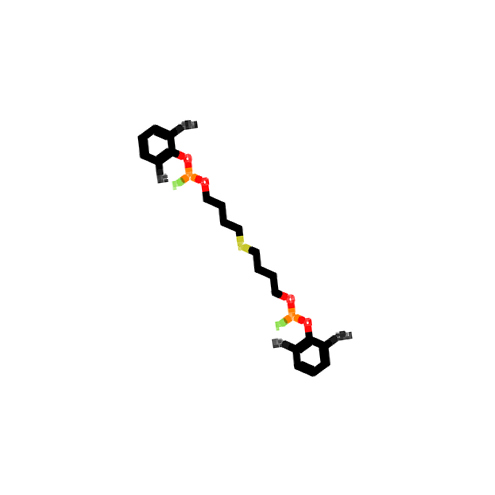 CCc1cccc(C(C)(C)C)c1OP(F)OCCCCSCCCCOP(F)Oc1c(CC)cccc1C(C)(C)C